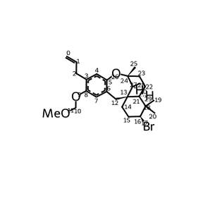 C=CCc1cc2c(cc1OCOC)C[C@]13CC[C@H](Br)C(C)(C)[C@@H]1CC[C@@](C)(O2)[C@H]3C